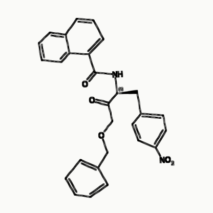 O=C(N[C@@H](Cc1ccc([N+](=O)[O-])cc1)C(=O)COCc1ccccc1)c1cccc2ccccc12